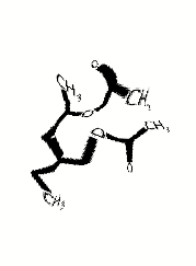 CCC(=CC(C)OC(C)=O)COC(C)=O